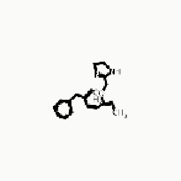 C\C=C(/C=C\C(=C/C)OCC1=NCCN1)Cc1ccccc1